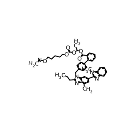 C=NOCCCCCOC(=O)OC(C)OC(=O)c1ccccc1-c1ccc(Cn2c(CCC)nc3c(C)cc(-c4nc5ccccc5n4C)cc32)cc1